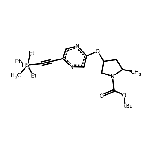 CC[SH](C)(C#Cc1cnc(OC2CC(C)N(C(=O)OC(C)(C)C)C2)cn1)(CC)CC